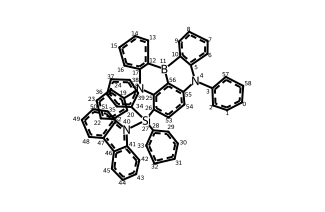 c1ccc(N2c3ccccc3B3c4ccccc4N(c4ccccc4)c4c([Si](c5ccccc5)(c5ccccc5)n5c6ccccc6c6ccccc65)ccc2c43)cc1